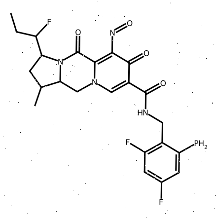 CCC(F)C1CC(C)C2Cn3cc(C(=O)NCc4c(F)cc(F)cc4P)c(=O)c(N=O)c3C(=O)N21